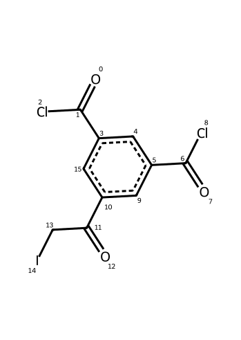 O=C(Cl)c1cc(C(=O)Cl)cc(C(=O)CI)c1